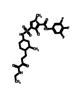 CCNC(=O)C(=O)CCC1CCC(NS(=O)(=O)c2cn(C)c(C(=O)Nc3cc(F)c(F)c(F)c3)c2Cl)CC1C